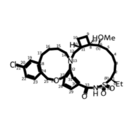 CC[C@@H]1CCCC[C@H](OC)[C@@H]2CC[C@H]2CN2CCCCc3cc(Cl)ccc3COc3ccc(cc32)C(=O)NS1(=O)=O